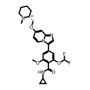 COc1cc(-c2cnc3cc(OC[C@H]4CCCCN4C)ccn23)cc(OC(F)F)c1C(=O)NC1CC1